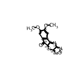 COc1cc2c(cc1OC)-c1nc3nonc3nc1C2=O